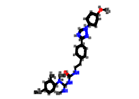 CCNC(NC(=O)NCCc1ccc(-c2ncn(-c3ccc(OC(F)(F)F)cc3)n2)cc1)N(C=O)c1ccc(OC)cc1C